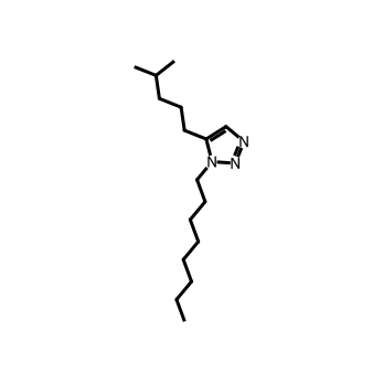 CCCCCCCCn1nncc1CCCC(C)C